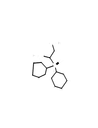 O=C(O)CC(C(=O)O)P(=O)(C1CCCCC1)C1CCCCC1